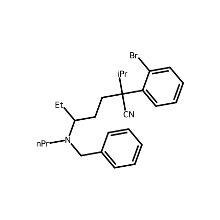 CCCN(Cc1ccccc1)C(CC)CCC(C#N)(c1ccccc1Br)C(C)C